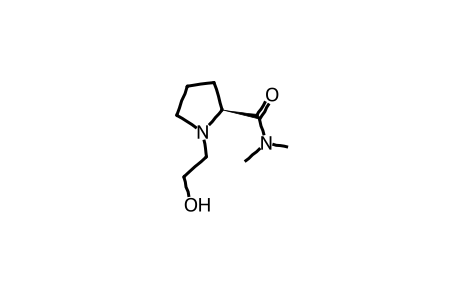 CN(C)C(=O)[C@@H]1CCCN1CCO